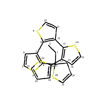 CCC1(c2sccc2-c2sccc2-c2sccc2-c2cccs2)CC=CS1